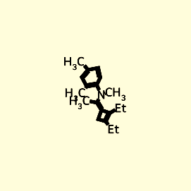 CCC1=C(CC)/C(=C(/C)N(C)c2ccc(C)cc2C)C1